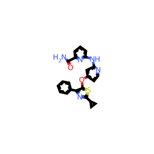 NC(=O)c1cccc(Nc2cc(Oc3sc(C4CC4)nc3-c3ccccc3)ccn2)n1